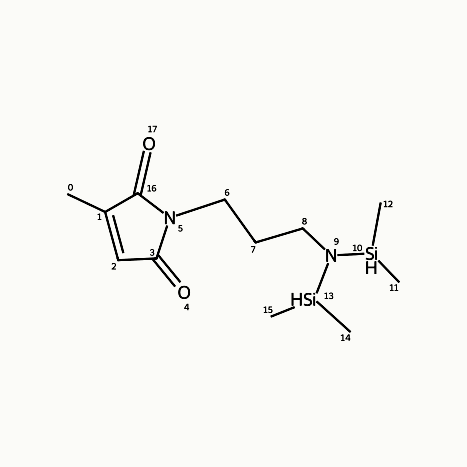 CC1=CC(=O)N(CCCN([SiH](C)C)[SiH](C)C)C1=O